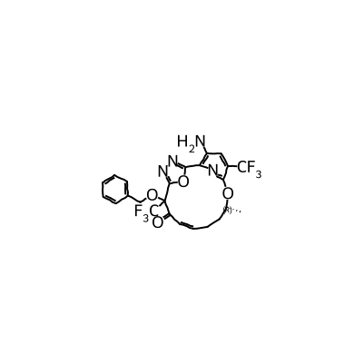 C[C@@H]1CCC=CC(=O)C(OCc2ccccc2)(C(F)(F)F)c2nnc(o2)-c2nc(c(C(F)(F)F)cc2N)O1